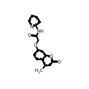 Cc1cc(=O)oc2cc(OCC(=O)Nc3ccccn3)ccc12